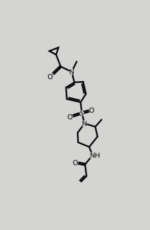 C=CC(=O)NC1CCN(S(=O)(=O)c2ccc(N(C)C(=O)C3CC3)cc2)C(C)C1